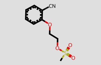 CS(=O)(=O)OCCOc1ccccc1C#N